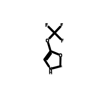 FC(F)(F)OC1=CN[C]O1